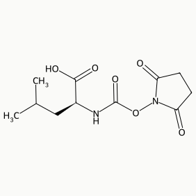 CC(C)C[C@H](NC(=O)ON1C(=O)CCC1=O)C(=O)O